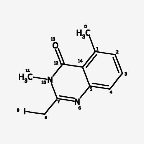 Cc1cccc2nc(CI)n(C)c(=O)c12